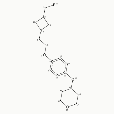 FCC1CN(CCOc2ccc(OC3[CH]COCC3)cc2)C1